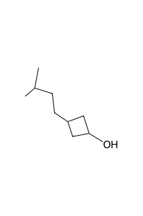 CC(C)CCC1CC(O)C1